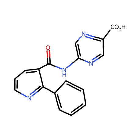 O=C(O)c1cnc(NC(=O)c2cccnc2-c2ccccc2)cn1